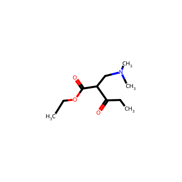 CCOC(=O)C(CN(C)C)C(=O)CC